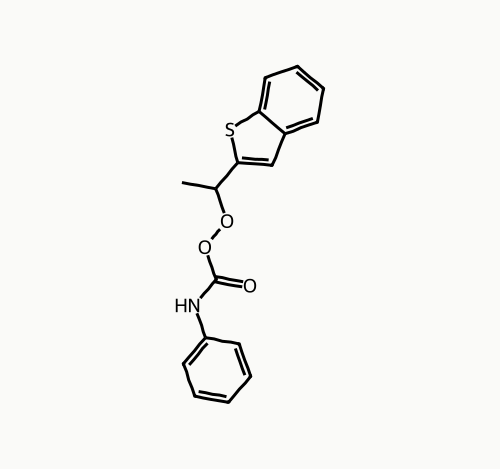 CC(OOC(=O)Nc1ccccc1)c1cc2ccccc2s1